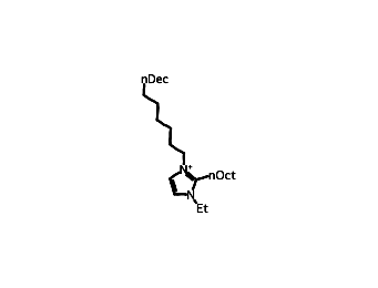 CCCCCCCCCCCCCCCC[n+]1ccn(CC)c1CCCCCCCC